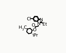 CCc1nc2ccc(Cl)cc2n1CC(=O)O[C@@H]1CC(C)CC[C@H]1C(C)C